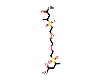 CCCCC(=O)CC(C)S(=O)(=O)CCOCCOCCS(=O)(=O)C(C)CC(=O)CCCC